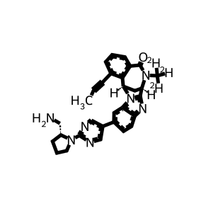 [2H]C([2H])([2H])N1C(=O)c2cccc(C#CC)c2[C@H]2C[C@@H]1c1nc3ccc(-c4cnc(N5CCC[C@@H]5CN)nc4)cc3n12